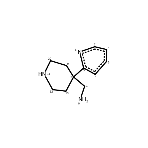 NCC1(c2ccccn2)CCNCC1